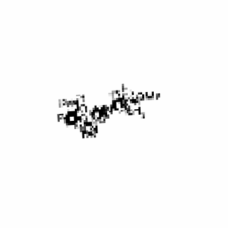 CCN(C(=O)c1cc(F)ccc1Oc1nncnc1N1CCC2(C1)CN(C(CC(C)(S)CN(C)CCOC)C(C)C)C2)C(C)C